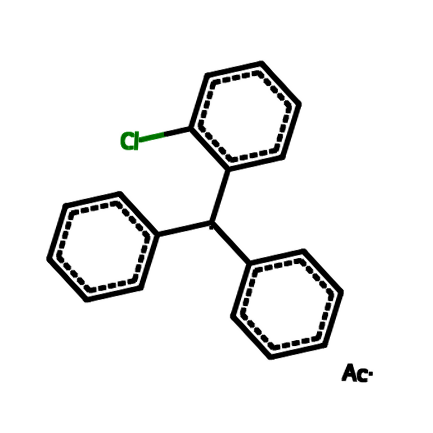 Clc1ccccc1[C](c1ccccc1)c1ccccc1.[Ac]